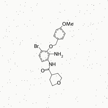 COc1ccc(COc2c(Br)ccc(NC(=O)C3CCOCC3)c2N)cc1